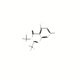 Cc1cc(Cl)cc2nc(C(C)(C)C)n(C(C)(C)C)c(=O)c12